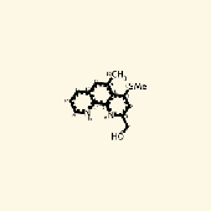 CSc1cc(CO)nc2c1c(C)cc1cccnc12